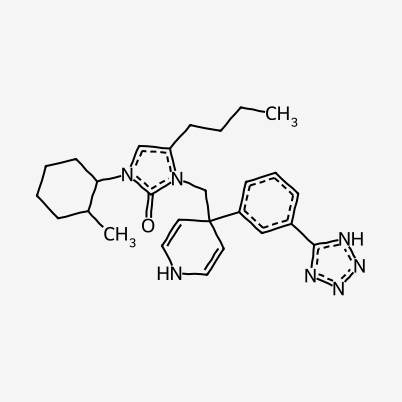 CCCCc1cn(C2CCCCC2C)c(=O)n1CC1(c2cccc(-c3nnn[nH]3)c2)C=CNC=C1